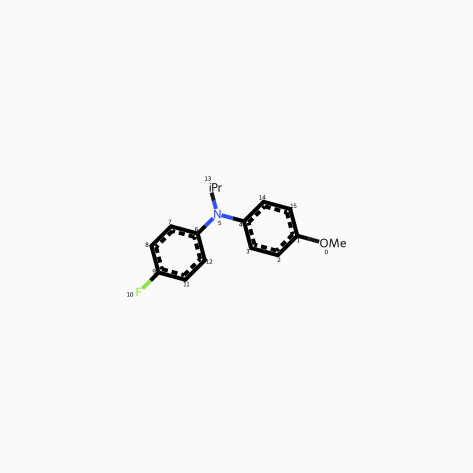 COc1ccc(N(c2ccc(F)cc2)C(C)C)cc1